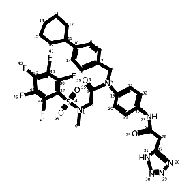 CN(CC(=O)N(Cc1ccc(C2CCCCC2)cc1)c1ccc(NC(=O)Cc2nnn[nH]2)cc1)S(=O)(=O)c1c(F)c(F)c(F)c(F)c1F